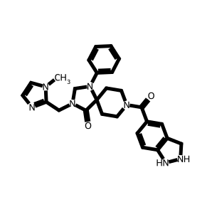 Cn1ccnc1CN1CN(c2ccccc2)C2(CCN(C(=O)c3ccc4c(c3)CNN4)CC2)C1=O